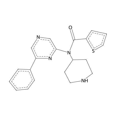 O=C(c1cccs1)N(c1cncc(-c2ccccc2)n1)C1CCNCC1